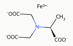 C[C@@H](C(=O)[O-])N(CC(=O)[O-])CC(=O)[O-].[Fe+3]